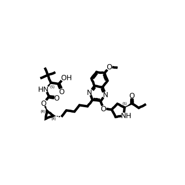 CCC(=O)[C@@H]1CC(Oc2nc3cc(OC)ccc3nc2CCCCC[C@@H]2C[C@H]2OC(=O)N[C@H](C(=O)O)C(C)(C)C)CN1